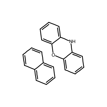 c1ccc2c(c1)Nc1ccccc1O2.c1ccc2ccccc2c1